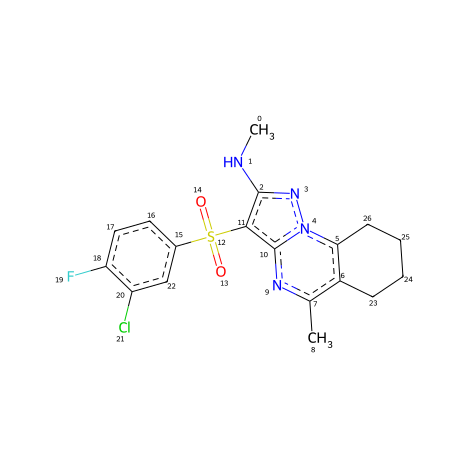 CNc1nn2c3c(c(C)nc2c1S(=O)(=O)c1ccc(F)c(Cl)c1)CCCC3